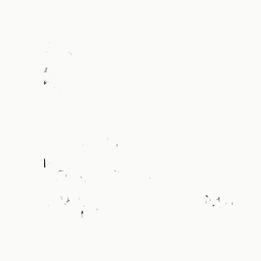 COc1ccc(COc2cc(-c3ccccn3)cc(F)c2N2CC(=O)NS2(=O)=O)cc1